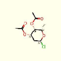 CC(=O)O[C@@H]1[C@H](C)O[C@@H](Cl)C[C@@H]1OC(C)=O